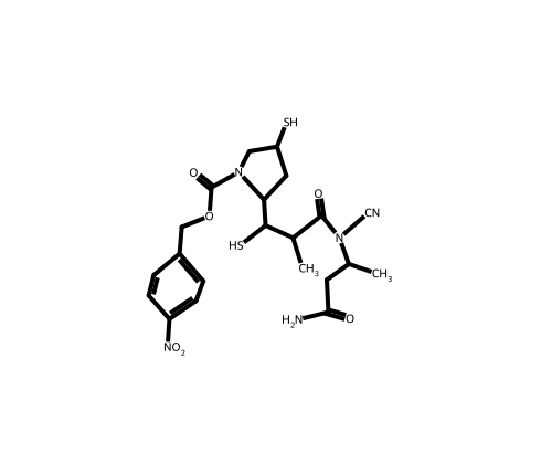 CC(C(=O)N(C#N)C(C)CC(N)=O)C(S)C1CC(S)CN1C(=O)OCc1ccc([N+](=O)[O-])cc1